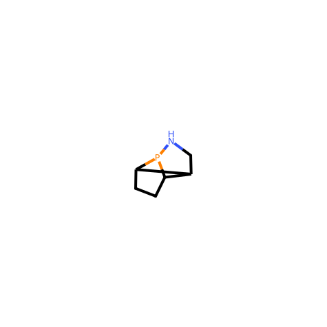 C1NP2C3CCC2C13